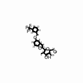 CC1=C(c2cc3cc(OCc4cccc(C(F)(F)F)c4)ccc3o2)OC(C=O)C(C)=C1O